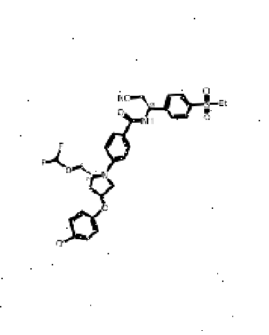 CCS(=O)(=O)c1ccc([C@H](CC#N)NC(=O)c2ccc(N3CC(Oc4ccc(Cl)cc4)C[C@H]3COC(F)F)cc2)cc1